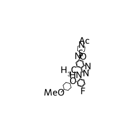 CO[C@H]1CC[C@H](Oc2cc(F)ccc2Nc2ncnc3cc(N=S4(=O)CCN(C(C)=O)CC4)cc(C)c23)CC1